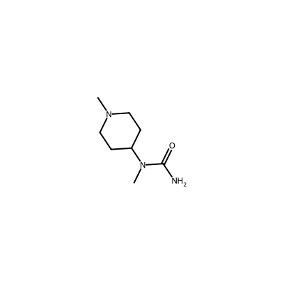 CN1CCC(N(C)C(N)=O)CC1